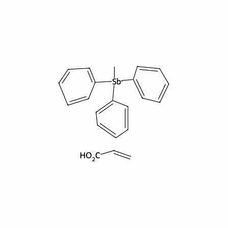 C=CC(=O)O.[CH3][Sb]([c]1ccccc1)([c]1ccccc1)[c]1ccccc1